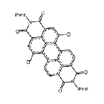 CCCC(C)N1C(=O)c2ccc3c4c(Cl)cc5c6c(cc(Cl)c(c7ccc(c2c37)C1=O)c64)C(=O)N(C(C)CCC)C5=O